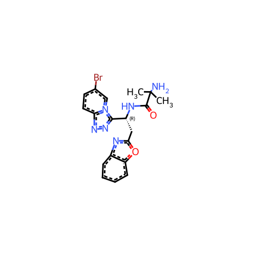 CC(C)(N)C(=O)N[C@H](Cc1nc2ccccc2o1)c1nnc2ccc(Br)cn12